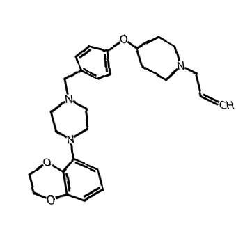 C=CCN1CCC(Oc2ccc(CN3CCN(c4cccc5c4OCCO5)CC3)cc2)CC1